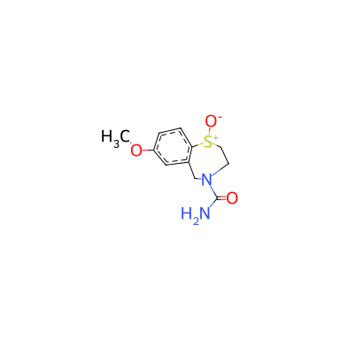 COc1ccc2c(c1)CN(C(N)=O)CC[S+]2[O-]